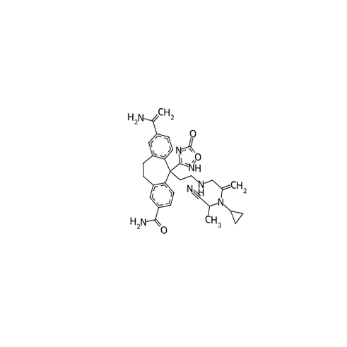 C=C(N)c1ccc2c(c1)CCc1cc(C(N)=O)ccc1C2(CCNCC(=C)N(C(C)C#N)C1CC1)c1nc(=O)o[nH]1